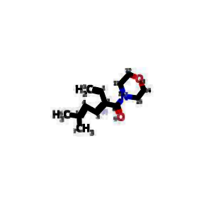 C=C/C(=C\C=C(C)C)C(=O)N1CCOCC1